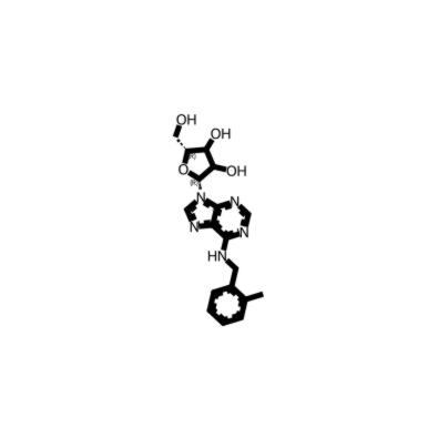 Cc1ccccc1CNc1ncnc2c1ncn2[C@@H]1O[C@H](CO)C(O)C1O